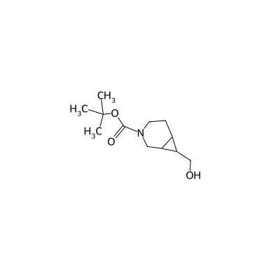 CC(C)(C)OC(=O)N1CCC2C(CO)C2C1